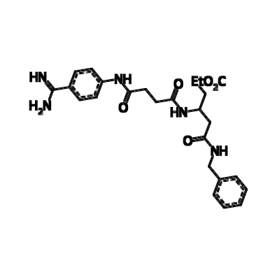 CCOC(=O)CC(CC(=O)NCc1ccccc1)NC(=O)CCC(=O)Nc1ccc(C(=N)N)cc1